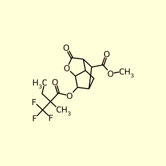 CCC(C)(C(=O)OC1C2CC3C1OC(=O)C3C2C(=O)OC)C(F)(F)F